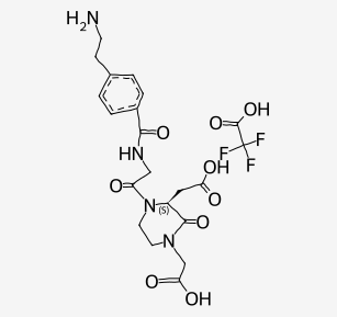 NCCc1ccc(C(=O)NCC(=O)N2CCN(CC(=O)O)C(=O)[C@@H]2CC(=O)O)cc1.O=C(O)C(F)(F)F